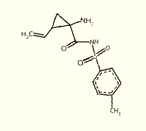 C=CC1CC1(N)C(=O)NS(=O)(=O)c1ccc(C)cc1